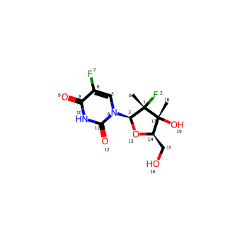 C[C@]1(F)[C@H](n2cc(F)c(=O)[nH]c2=O)O[C@H](CO)[C@@]1(C)O